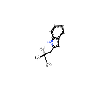 CC(C)(Cc1cc2ccccc2[nH]1)[N+](=O)[O-]